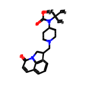 CC(C)(C)N(C(=O)O)C1CCN(CC2Cn3c(=O)ccc4cccc2c43)CC1